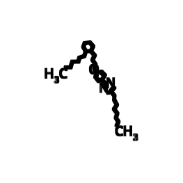 CCCCCCCCCc1cnc(-c2ccc(OCCCC3CCCCC3CCCCCCC)cc2)nc1